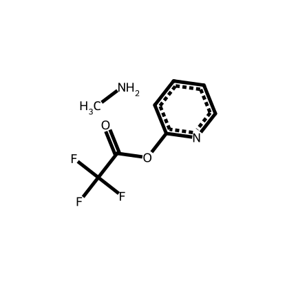 CN.O=C(Oc1ccccn1)C(F)(F)F